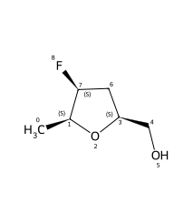 C[C@@H]1O[C@H](CO)C[C@@H]1F